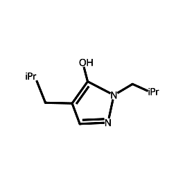 CC(C)Cc1cnn(CC(C)C)c1O